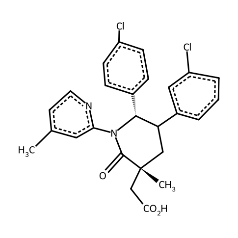 Cc1ccnc(N2C(=O)[C@@](C)(CC(=O)O)CC(c3cccc(Cl)c3)[C@H]2c2ccc(Cl)cc2)c1